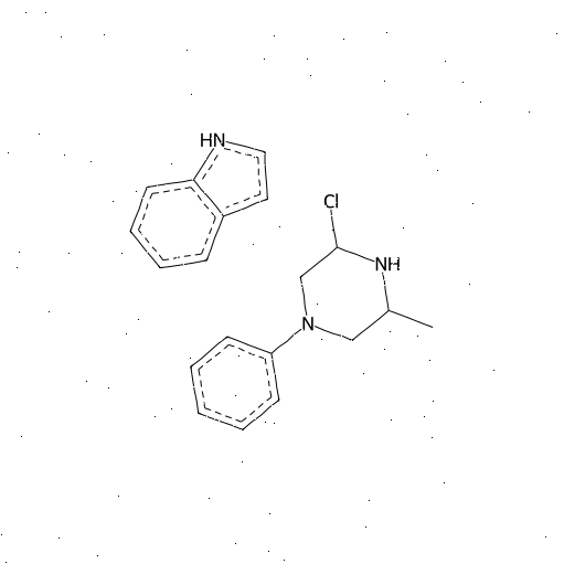 CC1CN(c2ccccc2)CC(Cl)N1.c1ccc2[nH]ccc2c1